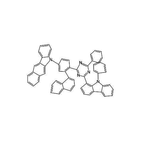 c1ccc(-c2nc(-c3ccc(-n4c5ccccc5c5cc6ccccc6cc54)cc3-c3cccc4ccccc34)nc(-c3cccc4c5ccccc5n(-c5ccccc5)c34)n2)cc1